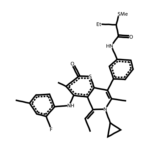 C/C=C1/c2c(sc(=O)c(C)c2Nc2ccc(C)cc2F)C(c2cccc(NC(=O)C(CC)SC)c2)=C(C)N1C1CC1